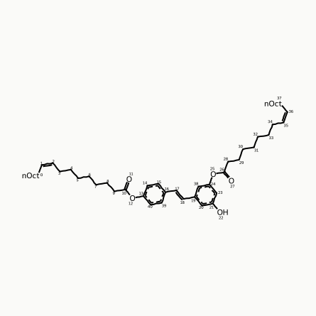 CCCCCCCC/C=C\CCCCCCCC(=O)Oc1ccc(C=Cc2cc(O)cc(OC(=O)CCCCCCC/C=C\CCCCCCCC)c2)cc1